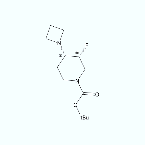 CC(C)(C)OC(=O)N1CC[C@H](N2CCC2)[C@H](F)C1